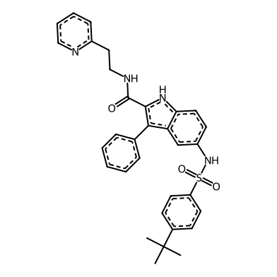 CC(C)(C)c1ccc(S(=O)(=O)Nc2ccc3[nH]c(C(=O)NCCc4ccccn4)c(-c4ccccc4)c3c2)cc1